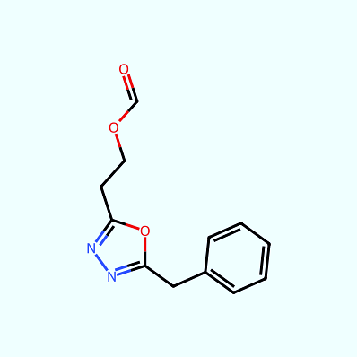 O=COCCc1nnc(Cc2ccccc2)o1